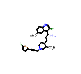 COc1ccc2ncc(Cl)c([C@H](N)CCC3CCN(CC#Cc4ccc(F)s4)CC3C(=O)O)c2c1